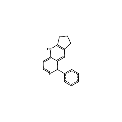 C1=NC(c2ccccc2)C2=CC3=C(CCC3)NC2=C1